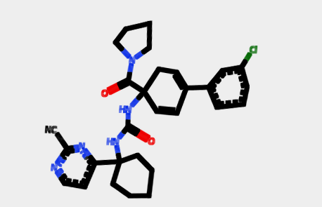 N#Cc1nccc(C2(NC(=O)NC3(C(=O)N4CCCC4)C=CC(c4cccc(Cl)c4)=CC3)CCCCC2)n1